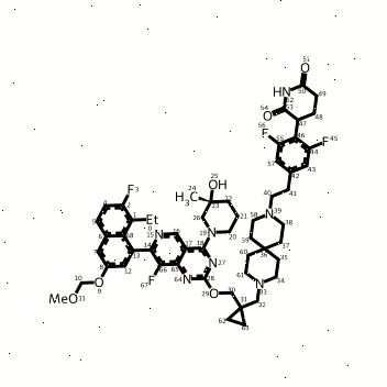 CCc1c(F)ccc2cc(OCOC)cc(-c3ncc4c(N5CCC[C@@](C)(O)C5)nc(OCC5(CN6CCC7(CCN(CCc8cc(F)c(C9CCC(=O)NC9=O)c(F)c8)CC7)CC6)CC5)nc4c3F)c12